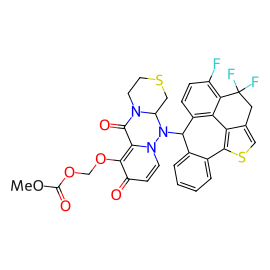 COC(=O)OCOc1c2n(ccc1=O)N(C1c3ccccc3-c3scc4c3-c3c1ccc(F)c3C(F)(F)C4)C1CSCCN1C2=O